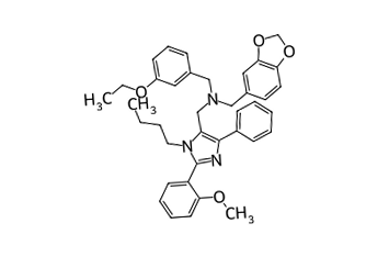 CCCCn1c(-c2ccccc2OC)nc(-c2ccccc2)c1CN(Cc1cccc(OCC)c1)Cc1ccc2c(c1)OCO2